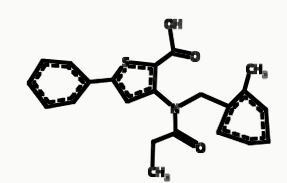 CCC(=O)N(Cc1ccccc1C)c1cc(-c2ccccc2)sc1C(=O)O